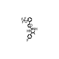 CC(C)=C(NC(=N)c1ccc(-c2ccccc2OC(F)(F)F)o1)c1ccc(F)cc1